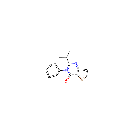 CC(C)c1nc2ccsc2c(=O)n1-c1ccccc1